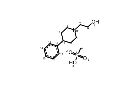 CS(=O)(=O)O.OCCN1CCC(c2ccccc2)CC1